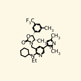 CCN(c1ncc(-c2cc(C)nn2C)cc1CN1C(=O)O[C@H](c2cc(C)cc(C(F)(F)F)c2)[C@@H]1C)C1CCCCC1